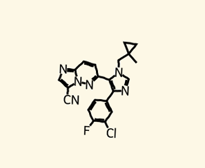 CC1(Cn2cnc(-c3ccc(F)c(Cl)c3)c2-c2ccc3ncc(C#N)n3n2)CC1